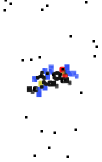 CNc1nc(C)c(-c2nc(Nc3ccc(C)c(S(=O)(=O)NN)c3)ncc2C#N)s1